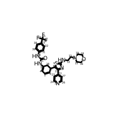 O=C(NC1=CC=CC(c2sc(NCCN3CCOCC3)nc2-c2ccncc2)C1)Nc1ccc(C(F)(F)F)cc1